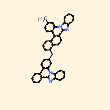 Cc1ccc2c3c4cccc(Cc5ccc6c7ccccc7c7nc8ccccc8n7c6c5)c4ccc3c3nc4ccccc4n3c2c1